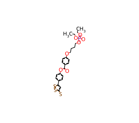 CCOP(=O)(OCC)OCCCCOc1ccc(C(=O)Oc2ccc(-c3cc(=S)ss3)cc2)cc1